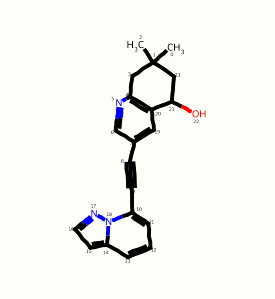 CC1(C)Cc2ncc(C#Cc3cccc4ccnn34)cc2C(O)C1